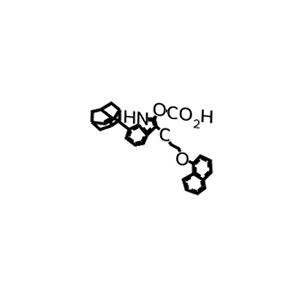 O=C(O)Oc1[nH]c2c(C3=CC4CC5CC(C4)CC3C5)cccc2c1CCCOc1cccc2ccccc12